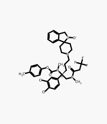 Cc1ccc(OC(=O)N(C)[C@](CCCN2CCC3(CC2)c2ccccc2C[S+]3[O-])(CN(C)C(=O)CC(F)(F)F)c2ccc(Cl)c(Cl)c2)cc1